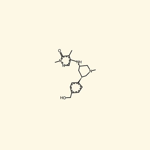 Cc1c(N[C@@H]2C[C@H](c3ccc(CO)cc3)CN(C)C2)cnn(C)c1=O